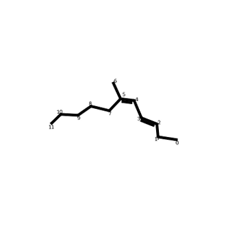 C[CH]C=CC=C(C)CCCCC